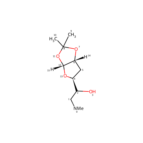 CNCC(O)[C@@H]1C[C@H]2OC(C)(C)O[C@H]2O1